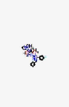 CN1CCC[C@@H]1C(=O)NC(C)(C)C(=O)Nc1nc(-c2ccc(F)cc2)n(Cc2ccccc2)n1